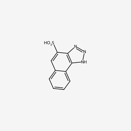 O=S(=O)(O)c1cc2ccccc2c2[nH]nnc12